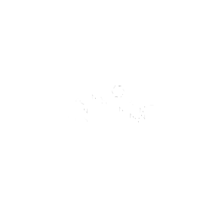 CN1N=NN(O)C1SC(N)c1cccc(CC(=O)NC2C(=O)N3C(C(=O)O)=S(C)CCC23)c1